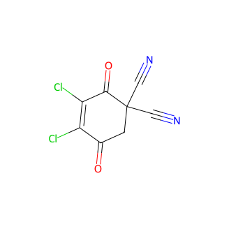 N#CC1(C#N)CC(=O)C(Cl)=C(Cl)C1=O